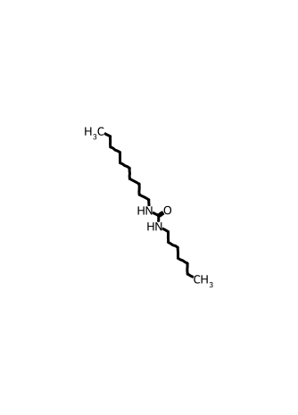 CCCCCCCCCCNC(=O)NCCCCCCC